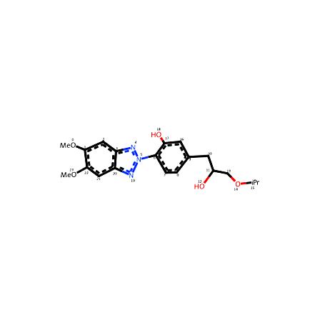 COc1cc2nn(-c3ccc(CC(O)COC(C)C)cc3O)nc2cc1OC